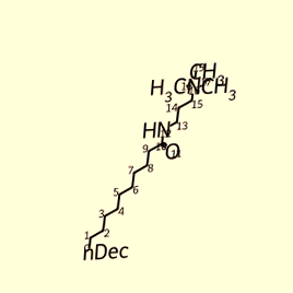 CCCCCCCCCCCCCCCCCCCC(=O)NCCC[N+](C)(C)C